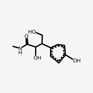 CNC(=O)C(O)C(CO)c1ccc(O)cc1